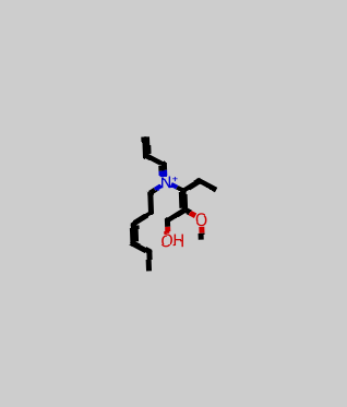 C=C/C=[N+](CC/C=C\CC)/C(CC)=C(\CO)OC